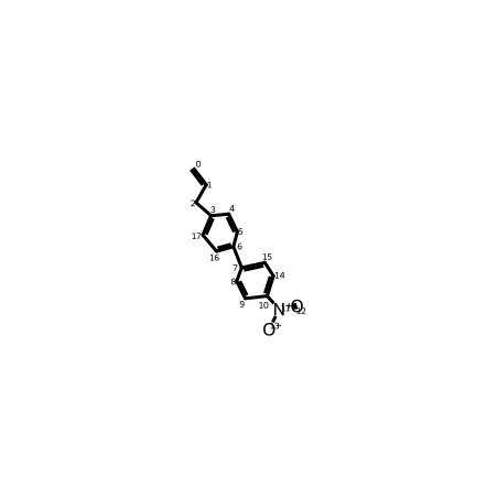 C=CCc1ccc(-c2ccc([N+](=O)[O-])cc2)cc1